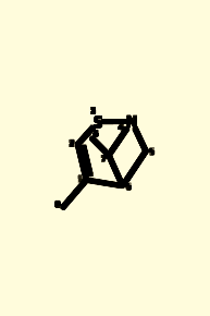 CC1=CSN2CC1C2C